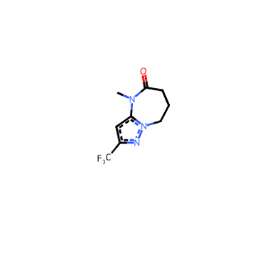 CN1C(=O)CCCn2nc(C(F)(F)F)cc21